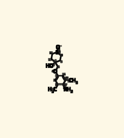 Cc1cc(OCC2(O)CC[S+]([O-])CC2)cc(C)c1N